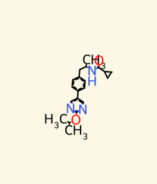 CC(Cc1ccc(-c2cnc(OC(C)C)nc2)cc1)NC(=O)C1CC1